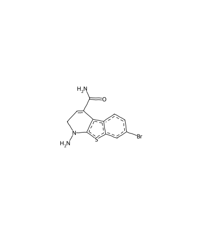 NC(=O)C1=CCN(N)c2sc3cc(Br)ccc3c21